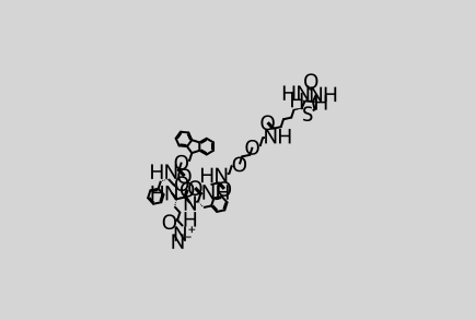 [N-]=[N+]=CC(=O)CC[C@H](NC(=O)[C@H](Cc1ccccc1)NC(=O)OCC1c2ccccc2-c2ccccc21)C(=O)N[C@@H](Cc1ccccc1)C(=O)NCC(=O)NCCOCCOCCNC(=O)CCCC[C@@H]1SC[C@@H]2NC(=O)N[C@@H]21